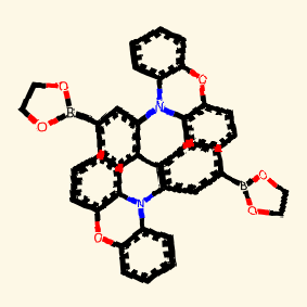 c1ccc2c(c1)Oc1ccccc1N2c1cc(B2OCCO2)ccc1-c1ccc(B2OCCO2)cc1N1c2ccccc2Oc2ccccc21